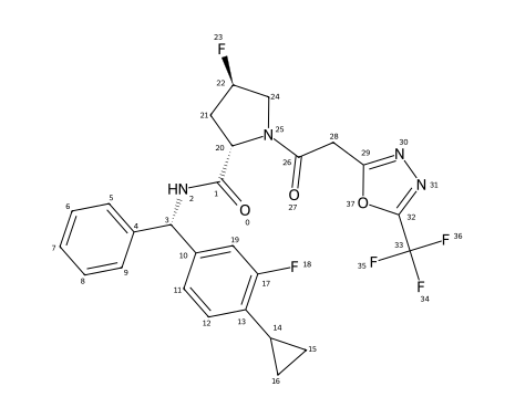 O=C(N[C@@H](c1ccccc1)c1ccc(C2CC2)c(F)c1)[C@@H]1C[C@@H](F)CN1C(=O)Cc1nnc(C(F)(F)F)o1